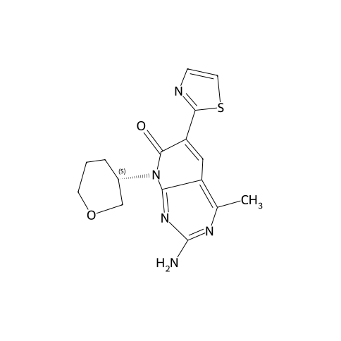 Cc1nc(N)nc2c1cc(-c1nccs1)c(=O)n2[C@H]1CCCOC1